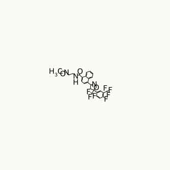 CO/N=C/CNC(=O)c1ccc(C2=NOC(c3ccc(F)c(C(F)(F)F)c3)(C(F)(F)F)C2)c2ccccc12